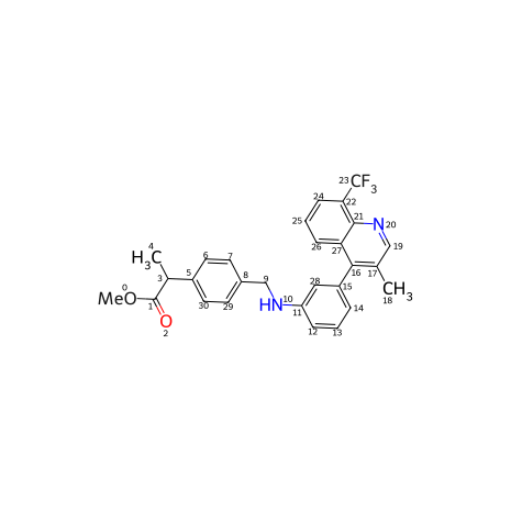 COC(=O)C(C)c1ccc(CNc2cccc(-c3c(C)cnc4c(C(F)(F)F)cccc34)c2)cc1